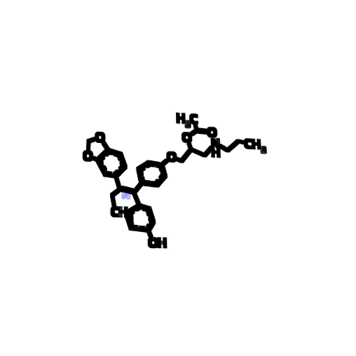 CCCNCC(COc1ccc(/C(=C(/CC)c2ccc3c(c2)OCO3)c2ccc(O)cc2)cc1)OC(C)=O